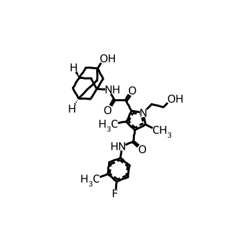 Cc1cc(NC(=O)c2c(C)c(C(=O)C(=O)NC34C[C@@H]5C[C@@H](CC(O)(C5)C3)C4)n(CCO)c2C)ccc1F